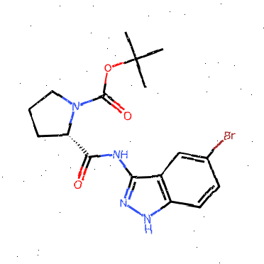 CC(C)(C)OC(=O)N1CCC[C@H]1C(=O)Nc1n[nH]c2ccc(Br)cc12